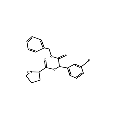 O=C(OC(C(=O)OCc1ccccc1)c1cccc(F)c1)C1CCCN1